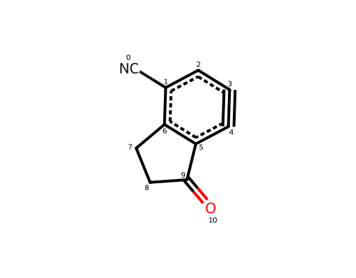 N#Cc1cc#cc2c1CCC2=O